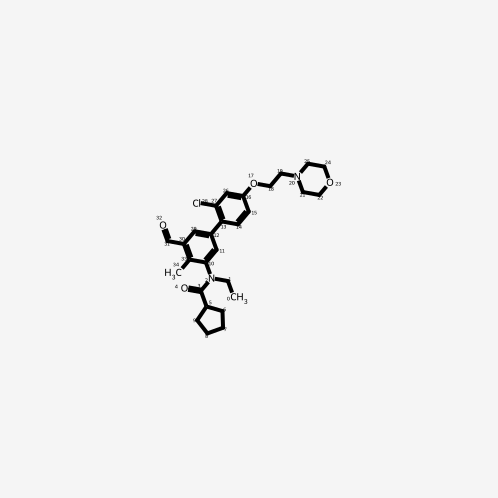 CCN(C(=O)C1CCCC1)c1cc(-c2ccc(OCCN3CCOCC3)cc2Cl)cc(C=O)c1C